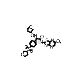 COc1cnc2nc(NC(=O)/C(=N/O[C@@H]3CCOC3)c3ccc(S(=O)(=O)[C@H]4CCOC4)cc3)sc2n1